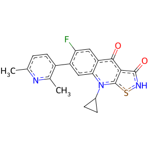 Cc1ccc(-c2cc3c(cc2F)c(=O)c2c(=O)[nH]sc2n3C2CC2)c(C)n1